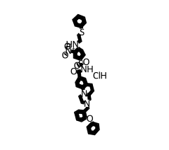 Cl.O=C(NS(=O)(=O)c1ccc(NCCSc2ccccc2)c([N+](=O)[O-])c1)c1ccc2c(c1)CCC1CN(Cc3ccccc3Oc3ccccc3)CCN21